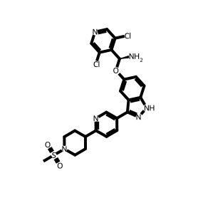 CS(=O)(=O)N1CCC(c2ccc(-c3n[nH]c4ccc(O[C@H](N)c5c(Cl)cncc5Cl)cc34)cn2)CC1